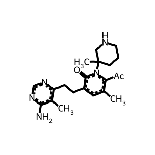 CC(=O)c1c(C)cc(CCc2ncnc(N)c2C)c(=O)n1C1(C)CCCNC1